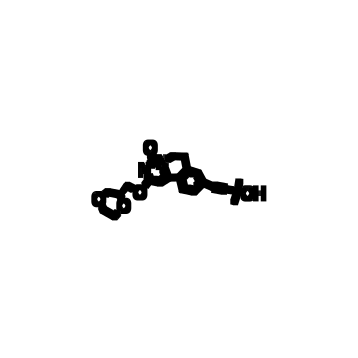 CC(C)(O)C#Cc1ccc2c(c1)CCn1c-2cc(OC[C@@H]2COCCO2)nc1=O